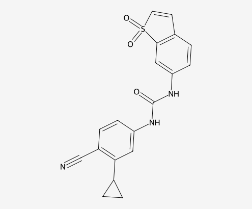 N#Cc1ccc(NC(=O)Nc2ccc3c(c2)S(=O)(=O)C=C3)cc1C1CC1